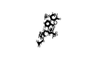 Cc1ncc(Br)cc1O[C@H](C)c1cc(F)ccc1-n1nc(C(F)F)cc1Cc1cn(CC2CC2)nn1